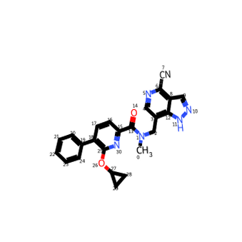 CN(Cc1cnc(C#N)c2cn[nH]c12)C(=O)c1ccc(-c2ccccc2)c(OC2CC2)n1